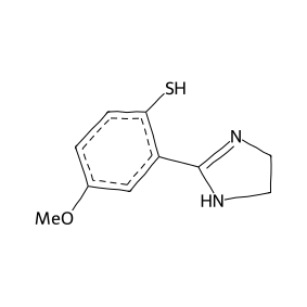 COc1ccc(S)c(C2=NCCN2)c1